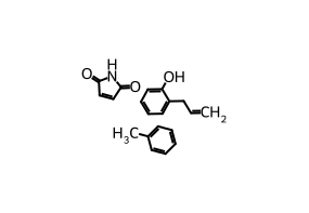 C=CCc1ccccc1O.Cc1ccccc1.O=C1C=CC(=O)N1